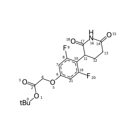 CC(C)(C)OC(=O)COc1cc(F)c(C2CCC(=O)NC2=O)c(F)c1